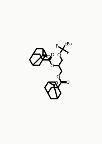 CC(C)(C)C(F)(F)OCC(COC(=O)C12CC3CC(C1)C(=O)C(C3)C2)OC(=O)C12CC3CC(C1)C(=O)C(C3)C2